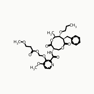 CCCO[C@H]1[C@H](C)OC(=O)[C@@H](NC(=O)c2nccc(OC)c2OCOC(=O)CCOC)COC(=O)[C@@H]1Cc1ccccc1